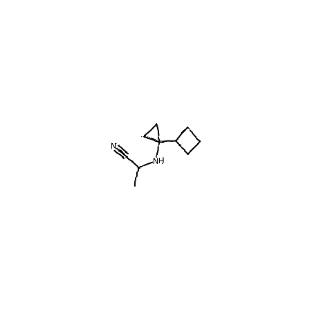 CC(C#N)NC1(C2CCC2)[CH]C1